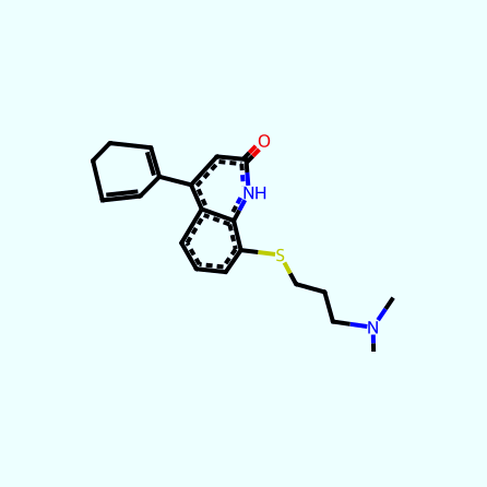 CN(C)CCCSc1cccc2c(C3=CCCC=C3)cc(=O)[nH]c12